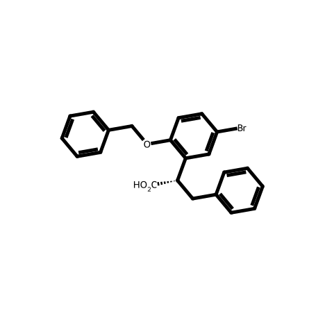 O=C(O)[C@@H](Cc1ccccc1)c1cc(Br)ccc1OCc1ccccc1